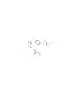 CCc1cc(N2C[C@H]3C[C@@H]2CN3CCO)ccc1Nc1ncc(C(F)(F)F)c(-c2cc3c(s2)[C@H](C)OCCS3(=O)=O)n1